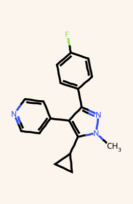 Cn1nc(-c2ccc(F)cc2)c(-c2ccncc2)c1C1CC1